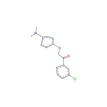 CN(C)c1ccc(OCC(=O)c2cccc(Cl)c2)cc1